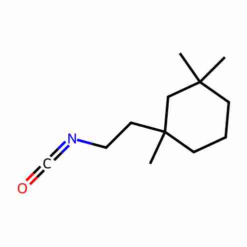 CC1(C)CCCC(C)(CCN=C=O)C1